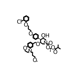 COCCCN1CCOc2ccc(CO[C@H]3CN(C(=O)O[C@H](C)OC(=O)C(C)C)C[C@@H](O)[C@@H]3c3ccc(OCCCOc4ccccc4Cl)cc3)cc21